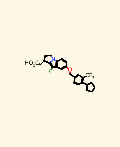 O=C(O)C[C@H]1CCn2c1c(Cl)c1cc(OCc3ccc(C4CCCC4)c(C(F)(F)F)c3)ccc12